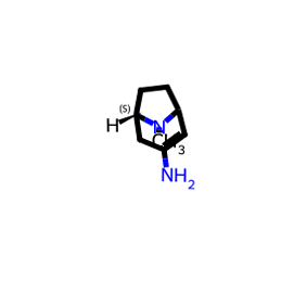 CN1C2C=C(N)C[C@@H]1CC2